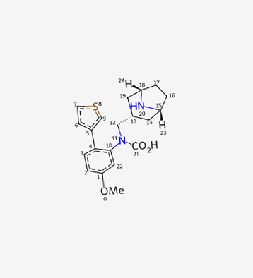 COc1ccc(-c2ccsc2)c(N(C[C@H]2C[C@H]3CC[C@@H](C2)N3)C(=O)O)c1